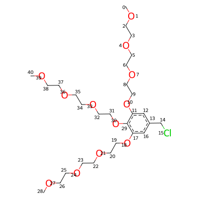 COCCOCCOCCOc1cc(CCl)cc(OCCOCCOCCOC)c1OCCOCCOCCOC